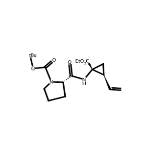 C=C[C@@H]1C[C@]1(NC(=O)[C@@H]1C[CH]CN1C(=O)OC(C)(C)C)C(=O)OCC